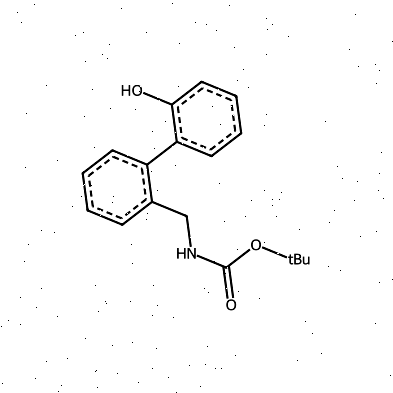 CC(C)(C)OC(=O)NCc1ccccc1-c1ccccc1O